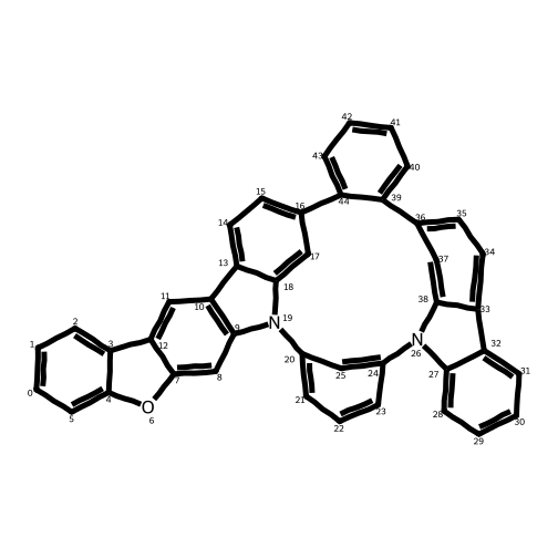 c1ccc2c(c1)oc1cc3c(cc12)c1ccc2cc1n3c1cccc(c1)n1c3ccccc3c3ccc(cc31)c1ccccc21